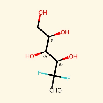 O=CC(F)(F)[C@H](O)[C@@H](O)[C@H](O)CO